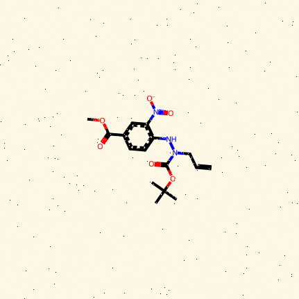 C=CCN(Nc1ccc(C(=O)OC)cc1[N+](=O)[O-])C(=O)OC(C)(C)C